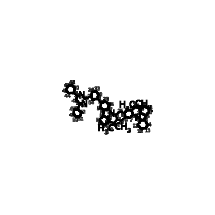 CC1(C)c2cc3c(cc2-n2c4ccccc4c4cccc1c42)CC1C(C3)n2c3ccc(-c4cccc(-c5nc(-c6ccccc6)cc(-c6ccccc6)n5)c4)cc3c3cccc(c32)C1(C)C